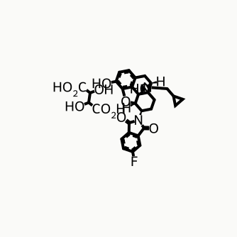 O=C(O)C(O)C(O)C(=O)O.O=C1c2ccc(F)cc2C(=O)N1[C@@H]1CC[C@@]2(O)[C@H]3Cc4ccc(O)c5c4[C@@]2(CCN3CC2CC2)[C@H]1O5